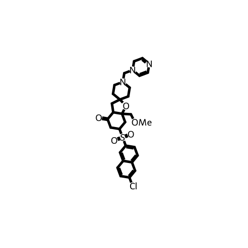 COCC12CC(S(=O)(=O)c3ccc4cc(Cl)ccc4c3)CC(=O)C1CC1(CCN(CN3C=CN=CC3)CC1)O2